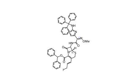 CO/N=C(\C(=O)NC1C(=O)N2C(C(=O)OC(c3ccccc3)c3ccccc3)=C(C=CCI)CS[C@@H]12)c1csc(NC(c2ccccc2)(c2ccccc2)c2ccccc2)n1